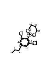 CCCc1cc(Cl)c(B2OCCCO2)c(Cl)c1